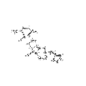 Cc1ccc(F)c([C@@H]2Cc3c(CC(=O)Nc4nncs4)n(C)c(=S)n3C2)c1F